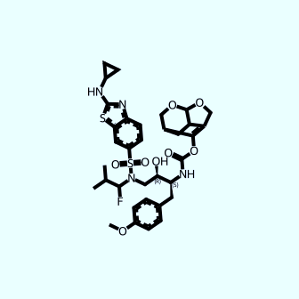 COc1ccc(C[C@H](NC(=O)OC2=C3COC4OCC2CC34)[C@H](O)CN(C(F)C(C)C)S(=O)(=O)c2ccc3nc(NC4CC4)sc3c2)cc1